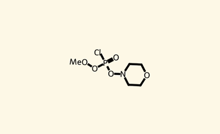 COOP(=O)(Cl)ON1CCOCC1